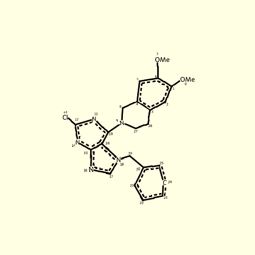 COc1cc2c(cc1OC)CN(c1nc(Cl)nc3ncn(Cc4ccccc4)c13)CC2